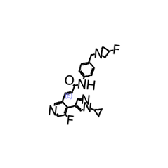 O=C(/C=C/c1cncc(F)c1-c1cnn(C2CC2)c1)Nc1ccc(CN2CC(F)C2)cc1